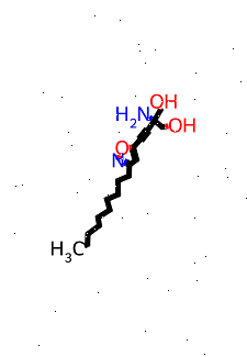 CCCCCCCCCCc1cc(C#CC(N)(CO)CO)on1